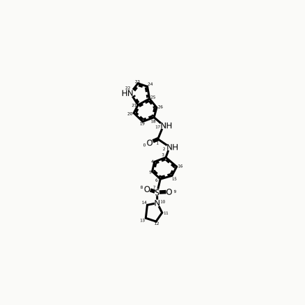 O=C(Nc1ccc(S(=O)(=O)N2CCCC2)cc1)Nc1ccc2[nH]ccc2c1